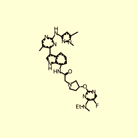 CCN(C)c1nc(O[C@H]2CCN(CC(=O)Nc3cccc4c(-c5nc(Nc6cc(C)n(C)n6)ncc5C)c[nH]c34)C2)ncc1F